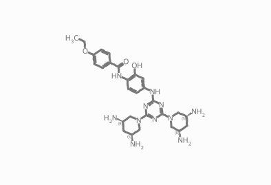 CCOc1ccc(C(=O)Nc2ccc(Nc3nc(N4C[C@H](N)C[C@H](N)C4)nc(N4C[C@H](N)C[C@H](N)C4)n3)cc2O)cc1